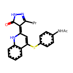 CC(=O)Nc1ccc(SC2=CC(=C3C(=O)NN=C3C(C)C)Nc3ccccc32)cc1